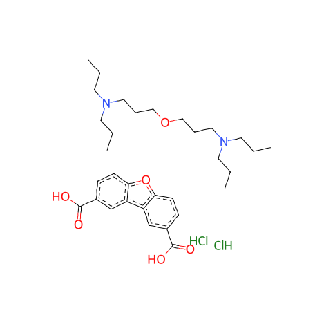 CCCN(CCC)CCCOCCCN(CCC)CCC.Cl.Cl.O=C(O)c1ccc2oc3ccc(C(=O)O)cc3c2c1